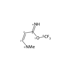 CN/C=C\C(=N)OC(F)(F)F